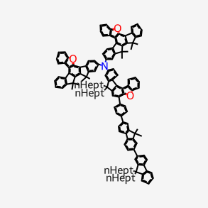 CCCCCCCC1(CCCCCCC)c2ccccc2-c2ccc(-c3ccc4c(c3)C(C)(C)c3cc(-c5ccc(-c6cc7c(c8c6oc6ccccc68)-c6ccc(N(c8ccc9c(c8)C(C)(C)c8c%10c(c%11c(oc%12ccccc%12%11)c8-9)-c8ccccc8C%10(C)C)c8ccc9c(c8)C(C)(C)c8c%10c(c%11oc%12ccccc%12c%11c8-9)-c8ccccc8C%10(C)C)cc6C7(CCCCCCC)CCCCCCC)cc5)ccc3-4)cc21